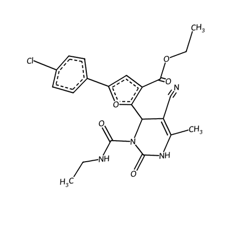 CCNC(=O)N1C(=O)NC(C)=C(C#N)C1c1oc(-c2ccc(Cl)cc2)cc1C(=O)OCC